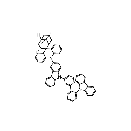 c1cc(-c2ccccc2-n2c3ccccc3c3ccccc32)cc(-n2c3ccccc3c3cc(N4c5ccccc5C5(c6ccccc64)C4C[C@H]6C[C@@H](C4)C[C@@H]5C6)ccc32)c1